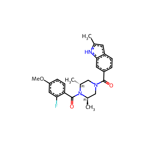 COc1ccc(C(=O)N2[C@H](C)CN(C(=O)c3ccc4cc(C)[nH]c4c3)C[C@H]2C)c(F)c1